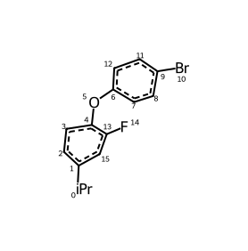 CC(C)c1ccc(Oc2ccc(Br)cc2)c(F)c1